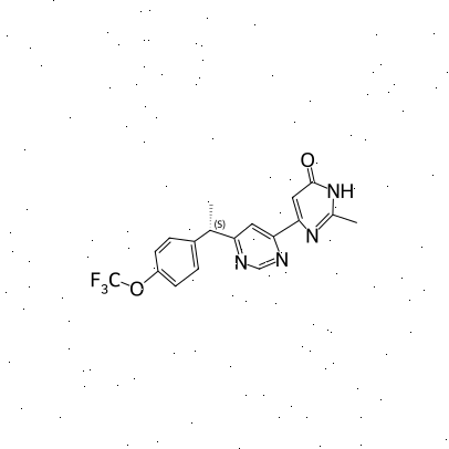 Cc1nc(-c2cc([C@@H](C)c3ccc(OC(F)(F)F)cc3)ncn2)cc(=O)[nH]1